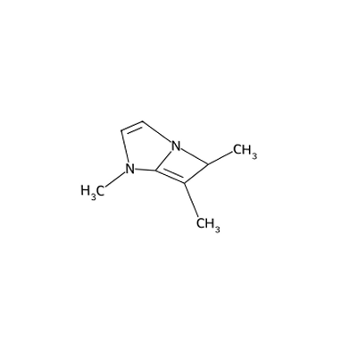 CC1=C2N(C)C=CN2C1C